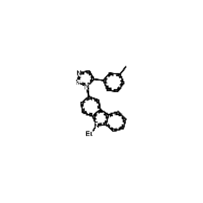 CCn1c2ccccc2c2cc(-n3nncc3-c3cccc(C)c3)ccc21